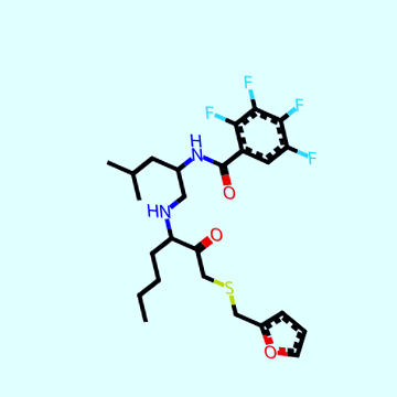 CCCCC(NCC(CC(C)C)NC(=O)c1cc(F)c(F)c(F)c1F)C(=O)CSCc1ccco1